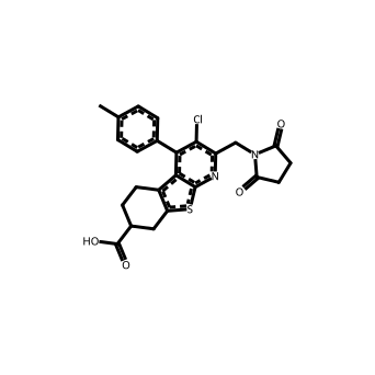 Cc1ccc(-c2c(Cl)c(CN3C(=O)CCC3=O)nc3sc4c(c23)CCC(C(=O)O)C4)cc1